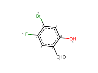 O=Cc1cc(F)c(Br)cc1O